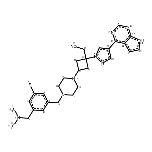 CN(C)Cc1cc(F)cc(CN2CCN(C3CC(CC#N)(n4cc(-c5ncnc6[nH]ccc56)cn4)C3)CC2)c1